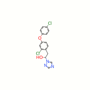 OC(Cc1ccc(Oc2ccc(Cl)cc2)cc1Cl)n1cncn1